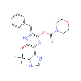 CC(C)(C)C1NC=N/C1=c1\nc(OC(=O)N2CCOCC2)/c(=C/c2ccccc2)[nH]c1=O